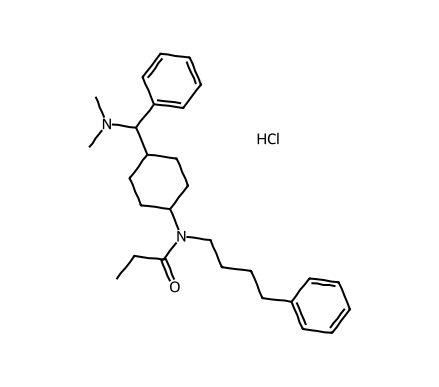 CCC(=O)N(CCCCc1ccccc1)C1CCC(C(c2ccccc2)N(C)C)CC1.Cl